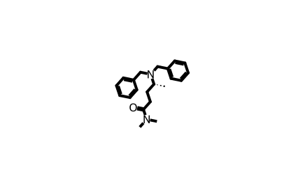 C[C@H](CCC(=O)N(C)C)N(Cc1ccccc1)Cc1ccccc1